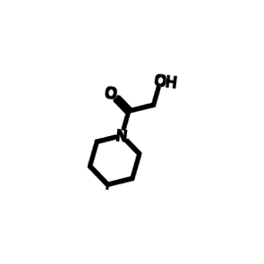 O=C(CO)N1CC[CH]CC1